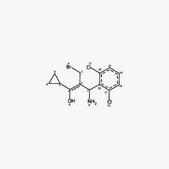 NC(/C(CBr)=C(\O)C1CC1)c1c(Cl)cccc1Cl